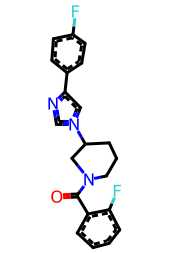 O=C(c1ccccc1F)N1CCCC(n2cnc(-c3ccc(F)cc3)c2)C1